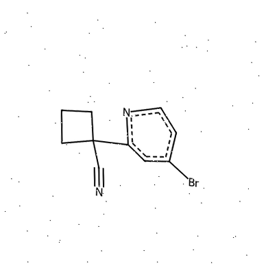 N#CC1(c2cc(Br)ccn2)CCC1